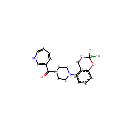 O=C(C1=CNC=CC=C1)N1CCN(c2cccc3c2COC(F)(F)O3)CC1